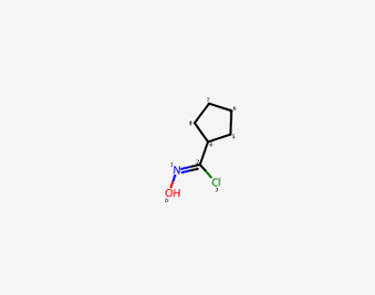 O/N=C(\Cl)C1CCCC1